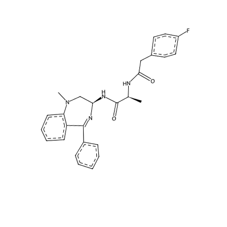 C[C@H](NC(=O)Cc1ccc(F)cc1)C(=O)N[C@@H]1CN(C)c2ccccc2C(c2ccccc2)=N1